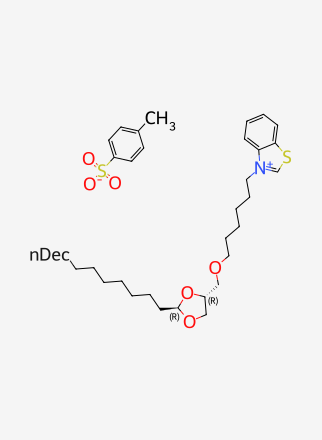 CCCCCCCCCCCCCCCCC[C@@H]1OC[C@@H](COCCCCCC[n+]2csc3ccccc32)O1.Cc1ccc(S(=O)(=O)[O-])cc1